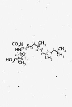 CC(C)=CCCC(C)=CCCC(C)=CCSC[C@H](NC(=O)CC(C)(C)C(=O)O)C(=O)O